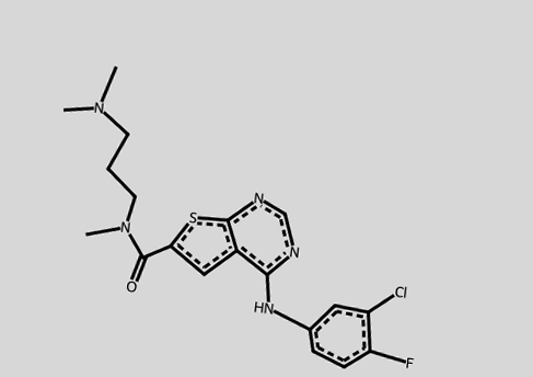 CN(C)CCCN(C)C(=O)c1cc2c(Nc3ccc(F)c(Cl)c3)ncnc2s1